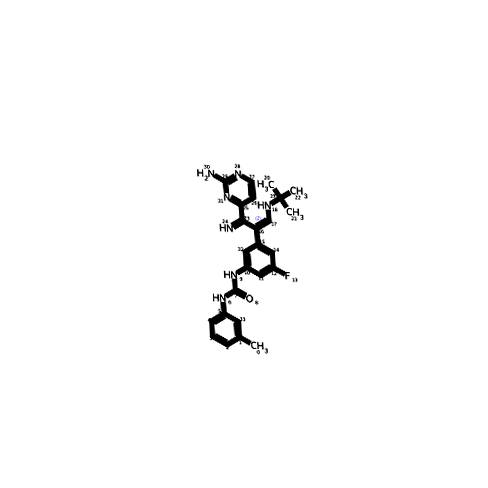 Cc1cccc(NC(=O)Nc2cc(F)cc(/C(=C/NC(C)(C)C)C(=N)c3ccnc(N)n3)c2)c1